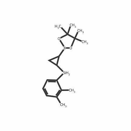 Cc1cccc([SiH2]C2CC2B2OC(C)(C)C(C)(C)O2)c1C